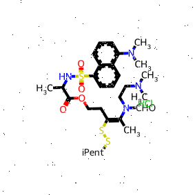 CCCC(C)SSC(CCOC(=O)C(C)NS(=O)(=O)c1cccc2c(N(C)C)cccc12)=C(C)N(C=O)CCN(C)C.Cl